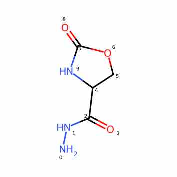 NNC(=O)C1COC(=O)N1